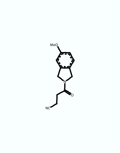 COc1ccc2c(c1)CN(C(=O)CCC#N)C2